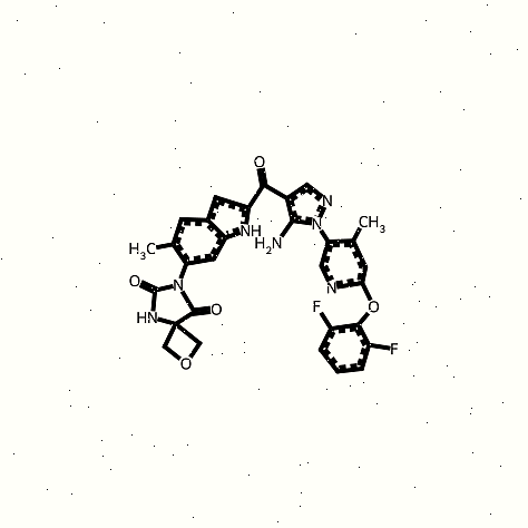 Cc1cc2cc(C(=O)c3cnn(-c4cnc(Oc5c(F)cccc5F)cc4C)c3N)[nH]c2cc1N1C(=O)NC2(COC2)C1=O